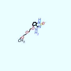 CCOCCOCCOc1cccc2c1C(N)=N[S+]([O-])N2